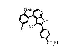 CCOC(=O)C1CC=C(c2[nH]c3nccc(-c4cc(F)ccc4OC)c3c2C#N)CC1